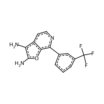 Nc1oc2c(-c3cccc(C(F)(F)F)c3)nccc2c1N